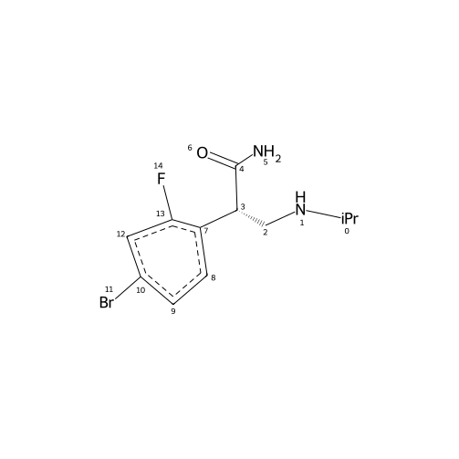 CC(C)NC[C@@H](C(N)=O)c1ccc(Br)cc1F